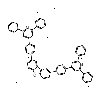 c1ccc(-c2cc(-c3ccc(-c4ccc5oc6ccc(-c7ccc(-c8cc(-c9ccccc9)nc(-c9ccccc9)c8)cc7)cc6c5c4)cc3)cc(-c3ccccc3)n2)cc1